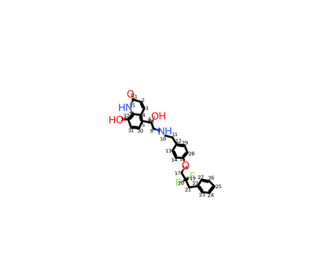 O=c1ccc2c([C@@H](O)CNCCc3ccc(OCC(F)(F)Cc4ccccc4)cc3)ccc(O)c2[nH]1